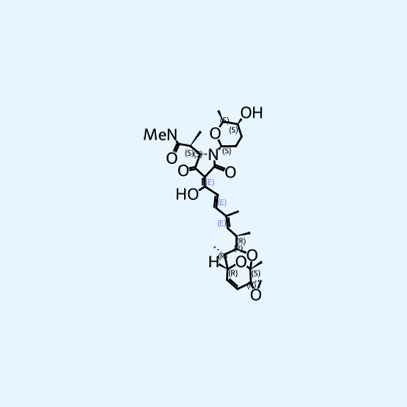 CNC(=O)[C@@H](C)[C@H]1C(=O)/C(=C(O)/C=C/C(C)=C/[C@@H](C)[C@H]2O[C@@]3(C)O[C@H](C=C[C@@]34CO4)[C@@H]2C)C(=O)N1[C@@H]1CC[C@H](O)[C@H](C)O1